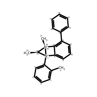 Cc1ccccc1[N+]12c3cccc(-c4ccccc4)c3[N@@+]1(C)[C@@H]2C